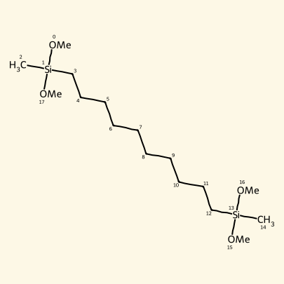 CO[Si](C)(CCCCCCCCCC[Si](C)(OC)OC)OC